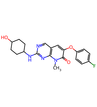 Cn1c(=O)c(Oc2ccc(F)cc2)cc2cnc(NC3CCC(O)CC3)nc21